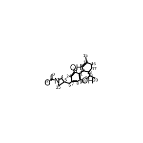 CC(=O)N1CC(Cc2cc(O)c(C3C=C(C)CCC3C(C)C)c(O)c2)C1